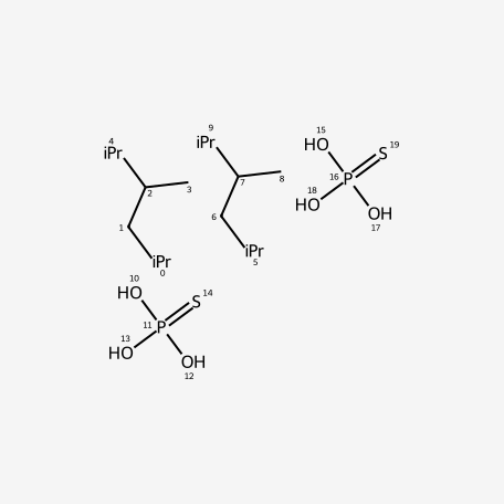 CC(C)CC(C)C(C)C.CC(C)CC(C)C(C)C.OP(O)(O)=S.OP(O)(O)=S